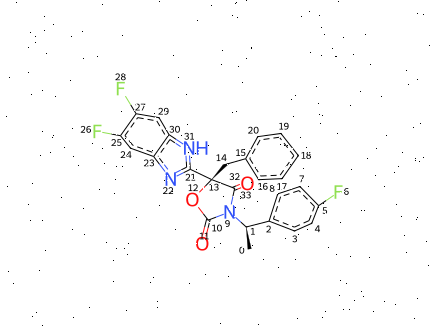 C[C@H](c1ccc(F)cc1)N1C(=O)O[C@](Cc2ccccc2)(c2nc3cc(F)c(F)cc3[nH]2)C1=O